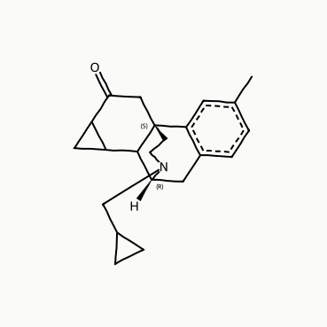 Cc1ccc2c(c1)[C@]13CCN(CC4CC4)[C@H](C2)C1C1CC1C(=O)C3